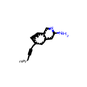 CCCC#Cc1ccc2cnc(N)cc2c1